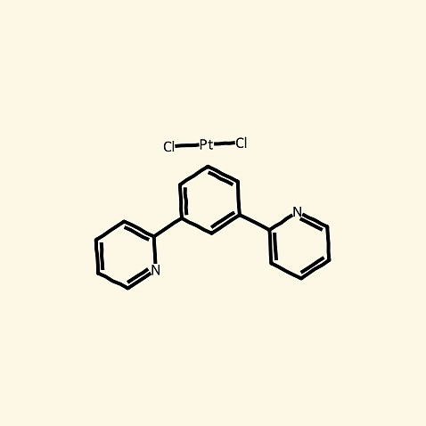 [Cl][Pt][Cl].c1ccc(-c2cccc(-c3ccccn3)c2)nc1